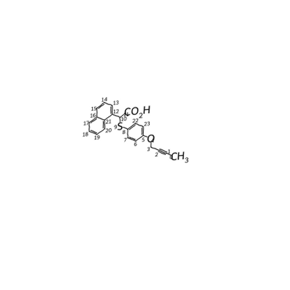 CC#CCOc1ccc(SC(C(=O)O)c2cccc3ccccc23)cc1